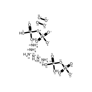 O=P(O)(O)[O][W](=[O])(=[O])[O-].O=P(O)(O)[O][W](=[O])(=[O])[O-].[NH4+].[NH4+].[NH4+].[NH4+].[NH4+].[NH4+].[O-][O-].[O-][O-]